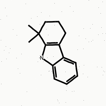 CC1(C)CCCC2=C1[N]c1ccccc12